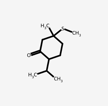 CSC1(C)CCC(C(C)C)C(=O)C1